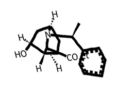 CCOC(=O)[C@H]1[C@@H]2CC[C@H](C[C@@H]2O)N1[C@@H](C)c1ccccc1